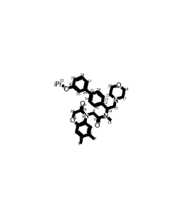 Cc1cc2c(cc1C)N(CC(=O)N(C)C(CN1CCOCC1)c1ccc(-c3cccc(OC(C)C)c3)cc1)C(=O)CO2